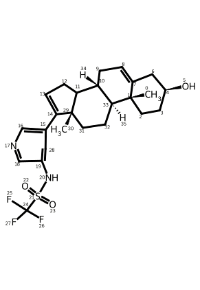 C[C@]12CC[C@H](O)CC1=CC[C@H]1C3CC=C(c4cncc(NS(=O)(=O)C(F)(F)F)c4)[C@@]3(C)CC[C@@H]12